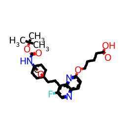 CC(C)(C)OC(=O)NC12CCC(CCc3c(F)cnc4ccc(OCCCCC(=O)O)nc34)(CC1)OC2